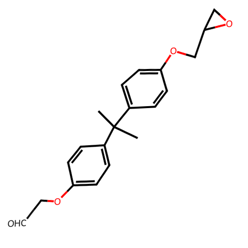 CC(C)(c1ccc(OCC=O)cc1)c1ccc(OCC2CO2)cc1